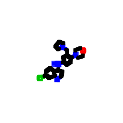 Clc1ccc2c(Nc3ccc(N4CCOCC4)c(CN4CCCC4)c3)ccnc2c1